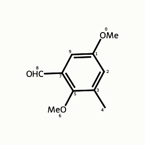 COc1cc(C)c(OC)c(C=O)c1